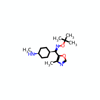 CN[C@H]1CC[C@@H](C(=NOC(C)(C)C)c2ocnc2C)CC1